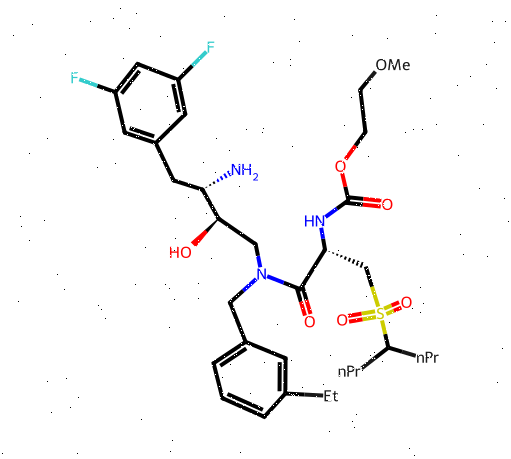 CCCC(CCC)S(=O)(=O)C[C@@H](NC(=O)OCCOC)C(=O)N(Cc1cccc(CC)c1)C[C@@H](O)[C@@H](N)Cc1cc(F)cc(F)c1